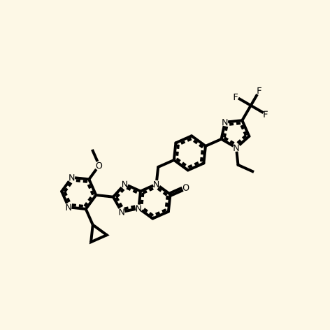 CCn1cc(C(F)(F)F)nc1-c1ccc(Cn2c(=O)ccn3nc(-c4c(OC)ncnc4C4CC4)nc23)cc1